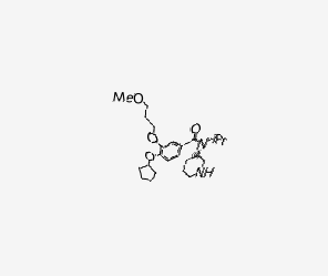 COCCCOc1cc(C(=O)N(C(C)C)[C@@H]2CCCNC2)ccc1OC1CCCC1